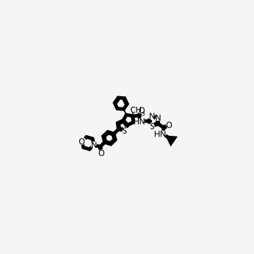 C[C@]1(C(=O)Nc2nnc(C(=O)NC3CC3)s2)Cc2sc(-c3ccc(C(=O)N4CCOCC4)cc3)cc2[C@H]1C1C=CC=CC1